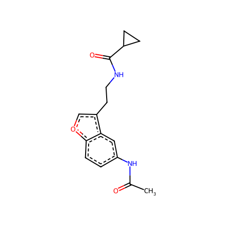 CC(=O)Nc1ccc2occ(CCNC(=O)C3CC3)c2c1